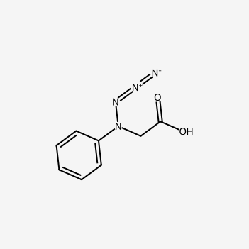 [N-]=[N+]=NN(CC(=O)O)c1ccccc1